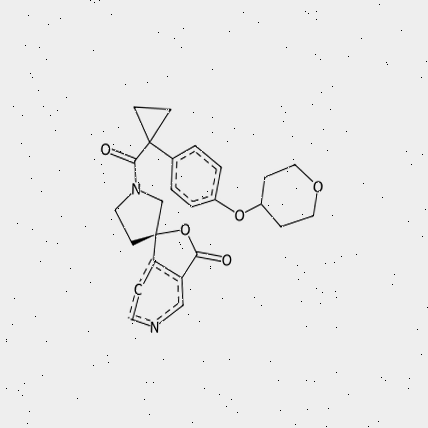 O=C1O[C@]2(CCN(C(=O)C3(c4ccc(OC5CCOCC5)cc4)CC3)C2)c2ccncc21